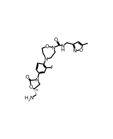 Cc1cc(CNC(=O)N2CCN(c3ccc(N4C[C@H](CN)OC4=O)cc3F)CCO2)no1